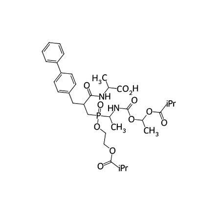 CC(OC(=O)NC(C)P(=O)(CC(Cc1ccc(-c2ccccc2)cc1)C(=O)NC(C)C(=O)O)OCCOC(=O)C(C)C)OC(=O)C(C)C